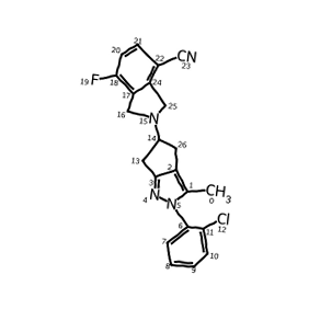 Cc1c2c(nn1-c1ccccc1Cl)CC(N1Cc3c(F)ccc(C#N)c3C1)C2